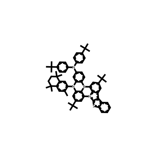 Cc1cc2c(cc1N1c3cc(N(c4ccc(C(C)(C)C)cc4)c4ccc(C(C)(C)C)cc4)ccc3B3c4c1cc(C(C)(C)C)cc4-n1c4sc5ccccc5c4c4cc(C(C)(C)C)cc3c41)C(C)(C)CCC2(C)C